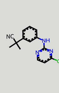 CC(C)(C#N)c1cccc(Nc2nccc(Cl)n2)c1